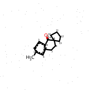 Cc1ccc2c(c1)CCC1(CCCC1)C2=O